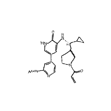 C=CC(=O)N1CCC([C@H](Nc2cc(-c3ccnc(NC)c3)c[nH]c2=O)C2CC2)C1